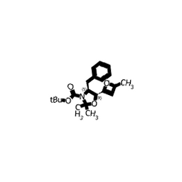 CC1C=C([C@@H]2OC(C)(C)N(C(=O)OC(C)(C)C)[C@H]2Cc2ccccc2)O1